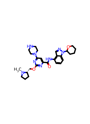 CN1CCC[C@H]1COc1nc(C(=O)Nc2cccc3c2cnn3C2CCCCO2)cc(N2CCNCC2)n1